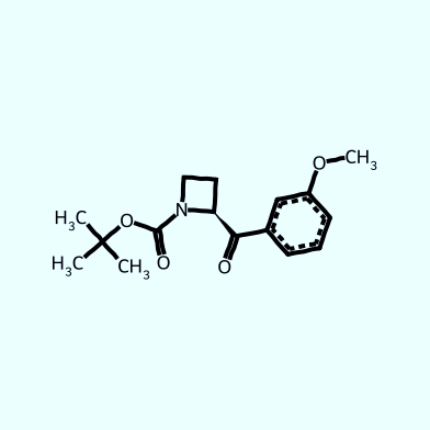 COc1cccc(C(=O)[C@@H]2CCN2C(=O)OC(C)(C)C)c1